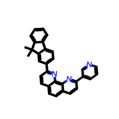 CC1(C)c2ccccc2-c2ccc(-c3ccc4ccc5ccc(-c6cccnc6)nc5c4n3)cc21